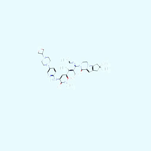 C=C/N=C(\C(CO)=C(/C)c1cc(Nc2ccc(N3CCN(C4COC4)CC3)cn2)c(=O)n(C)c1)N1CCn2c(cc3c2CC(C)(C)C3)C1=O